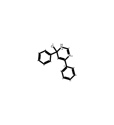 ClC1(c2ccccc2)C=C(c2ccccc2)N=CN1